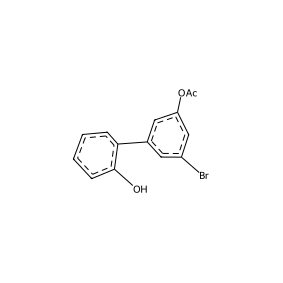 CC(=O)Oc1cc(Br)cc(-c2ccccc2O)c1